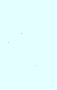 CNS(=O)(=O)c1ccc(N[C@H](C)c2cccc(C(F)(F)F)c2)c(-c2cn(C)cn2)c1